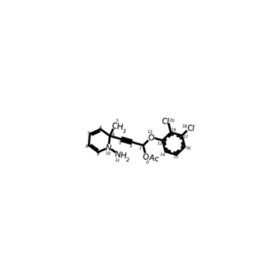 CC(=O)OC(C#CC1(C)C=CC=CN1N)Oc1cccc(Cl)c1Cl